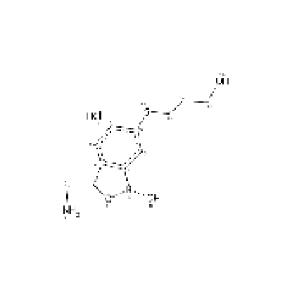 Cl.NCC1OB(O)c2cc(SCCCO)ccc21